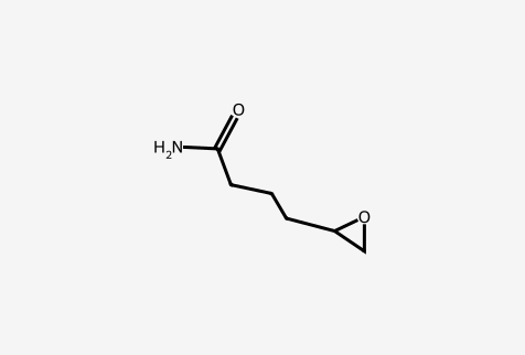 NC(=O)CCCC1CO1